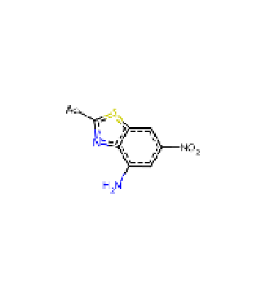 CC(=O)c1nc2c(N)cc([N+](=O)[O-])cc2s1